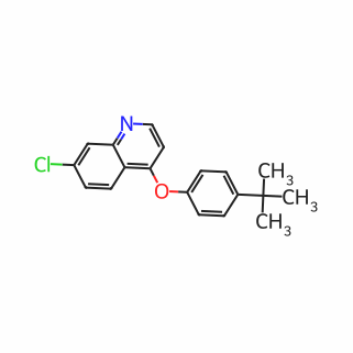 CC(C)(C)c1ccc(Oc2ccnc3cc(Cl)ccc23)cc1